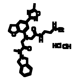 CCNCCNC(=O)CN(CC(=O)N(C)N1Cc2ccccc2C1)c1cc(-c2noc(C)n2)cc2c1OCC2.Cl.Cl